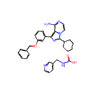 Nc1nccn2c(C3CCCCC3)nc(-c3cccc(OCc4ccccc4)c3)c12.O=C(O)NCc1cccnc1